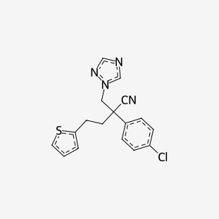 N#CC(CCc1cccs1)(Cn1cncn1)c1ccc(Cl)cc1